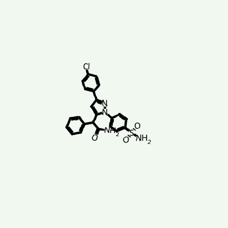 NC(=O)C(c1ccccc1)c1cc(-c2ccc(Cl)cc2)nn1-c1ccc(S(N)(=O)=O)cc1